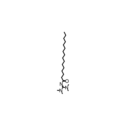 CCCCCCCCCCCCCCCC(=O)N=C(N(C)C)N(C)C